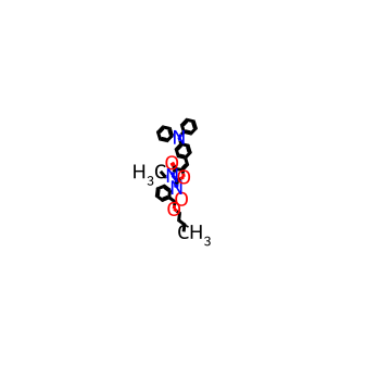 CCCCOC(=O)c1ccccc1/N=C1/O/C(=C/c2ccc(N(c3ccccc3)c3ccccc3)cc2)C(=O)N1CC